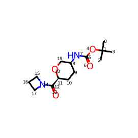 CC(C)(C)OC(=O)N[C@H]1CC[C@@H](C(=O)N2CCC2)OC1